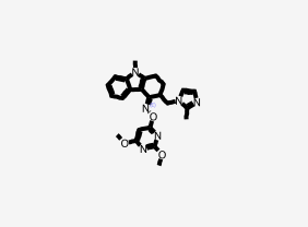 COc1cc(O/N=C2/c3c(n(C)c4ccccc34)CCC2Cn2ccnc2C)nc(OC)n1